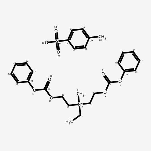 CC[N+](C)(CCOC(=O)Oc1ccccc1)CCOC(=O)Oc1ccccc1.Cc1ccc(S(=O)(=O)[O-])cc1